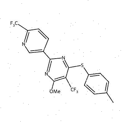 COc1nc(-c2ccc(C(F)(F)F)nc2)nc(Sc2ccc(C)cc2)c1C(F)(F)F